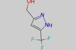 OCc1cc(C(F)(F)F)[nH]n1